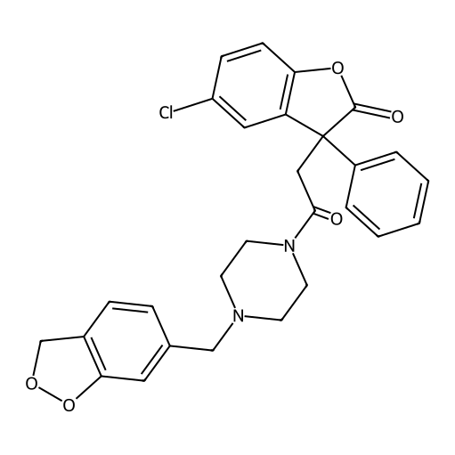 O=C(CC1(c2ccccc2)C(=O)Oc2ccc(Cl)cc21)N1CCN(Cc2ccc3c(c2)OOC3)CC1